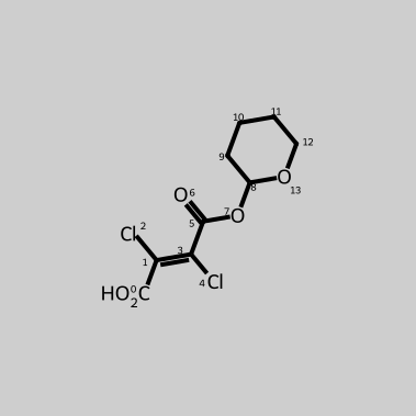 O=C(O)C(Cl)=C(Cl)C(=O)OC1CCCCO1